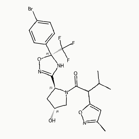 Cc1cc(C(C(=O)N2C[C@H](O)C[C@H]2C2=NO[C@](c3ccc(Br)cc3)(C(F)(F)F)N2)C(C)C)on1